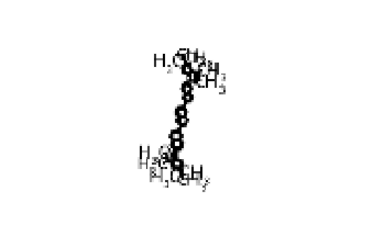 Cc1c(C)n(-c2ccc3cc(-c4ccc5cc(-c6ccc7cc(-n8c(C)c(C)c9cc(C(C)(C)C)ccc98)ccc7c6)ccc5c4)ccc3c2)c2ccc(C(C)(C)C)cc12